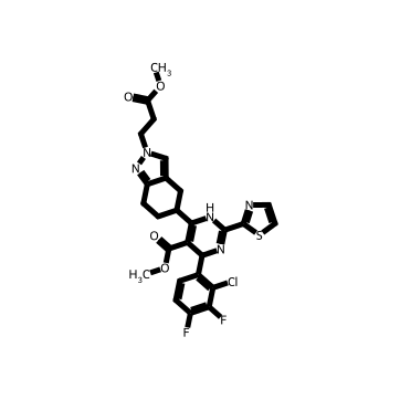 COC(=O)CCn1cc2c(n1)CCC(C1=C(C(=O)OC)C(c3ccc(F)c(F)c3Cl)N=C(c3nccs3)N1)C2